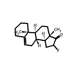 C[C@]12CCCCC1=CC[C@@H]1[C@@H]2CC[C@]2(C)C(=O)C(F)C[C@@H]12